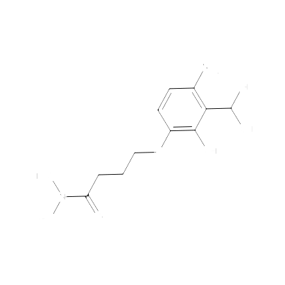 CCCCCN(C)C(=O)CCCOc1ccc([N+](=O)[O-])c(C(C)O)c1C